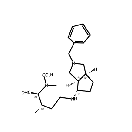 C[C@@H](CCN[C@H]1CC[C@@H]2CN(Cc3ccccc3)C[C@@H]21)[C@@H](C=O)N(C)C(=O)O